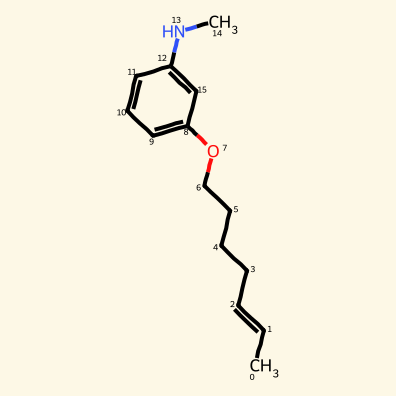 C/C=C/CCCCOc1cccc(NC)c1